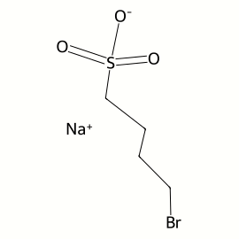 O=S(=O)([O-])CCCCBr.[Na+]